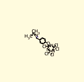 CN(C)/N=C/c1ccc(OP2(Cl)=NP(Cl)(Cl)=NP(Cl)(Cl)=N2)cc1